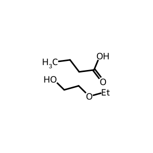 CCCC(=O)O.CCOCCO